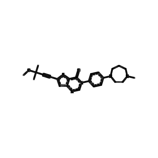 COC(C)(C)C#Cc1cc2ncn(-c3ccc(N4CCCN(C)CC4)cc3)c(=O)c2s1